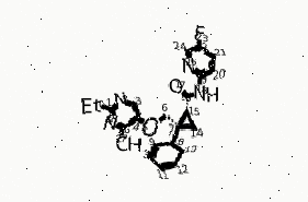 CCc1ncc(OC[C@@]2(C3C=CC=CC3)C[C@H]2C(=O)Nc2ccc(F)cn2)c(C)n1